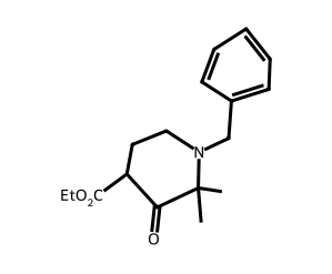 CCOC(=O)C1CCN(Cc2ccccc2)C(C)(C)C1=O